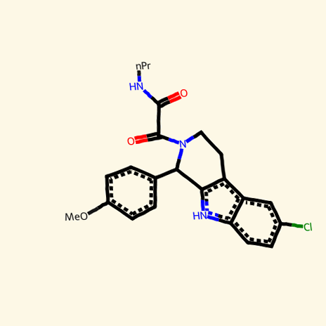 CCCNC(=O)C(=O)N1CCc2c([nH]c3ccc(Cl)cc23)C1c1ccc(OC)cc1